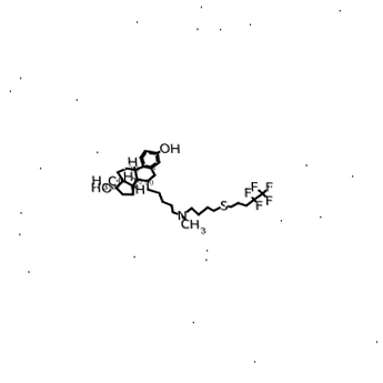 CN(CCCCC[C@@H]1Cc2cc(O)ccc2[C@H]2CC[C@]3(C)[C@@H](O)CC[C@H]3[C@H]12)CCCCSCCCC(F)(F)C(F)(F)F